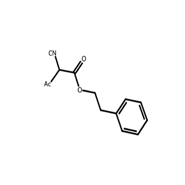 [C-]#[N+]C(C(C)=O)C(=O)OCCc1ccccc1